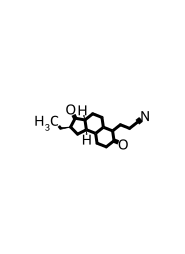 CC[C@@H]1C[C@@H]2C3CCC(=O)C(CCC#N)C3CC[C@@H]2C1=O